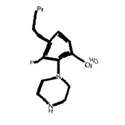 CC(C)Cc1ccc(C#N)c(N2CCNCC2)c1F.Cl